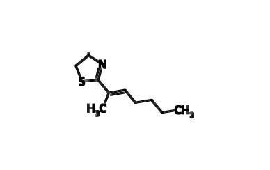 CCCCC=C(C)C1=N[CH]CS1